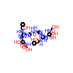 O=C(CO)N[C@H]1C[C@@H](n2cnc3c(N[C@H](CO)Cc4ccccc4)nc(-n4cc(NC(=O)Nc5cnn(-c6nc(N[C@H](CO)Cc7ccccc7)c7ncn([C@@H]8C[C@H](NC(=O)CO)[C@@H](O)[C@H]8O)c7n6)c5)cn4)nc32)[C@H](O)[C@@H]1O